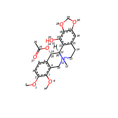 COc1ccc2c(c1OC)C[N+]1(C)CCc3cc4c(c(O)c3[C@@H]1[C@H]2OC(C)=O)OCO4